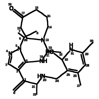 C=C(c1cnn(C(C)C)c1NC(C)N1CCCC(=O)CC1)C(C)NCC1=C(C)C=C(C)NC1O